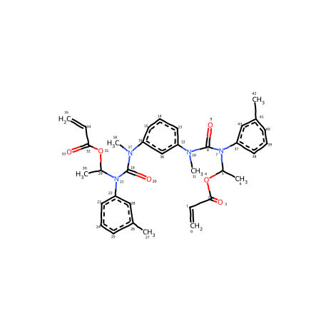 C=CC(=O)OC(C)N(C(=O)N(C)c1cccc(N(C)C(=O)N(c2cccc(C)c2)C(C)OC(=O)C=C)c1)c1cccc(C)c1